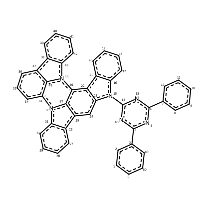 c1ccc(-c2nc(-c3ccccc3)nc(-n3c4ccccc4c4c3cc3c5ccccc5n5c6cccc7c8ccccc8n(c76)c4c35)n2)cc1